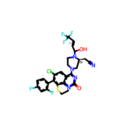 N#CC[C@H]1CN(c2nc(=O)n3c4c(c(-c5ccc(F)cc5F)c(Cl)cc24)SCC3)CCN1C(O)/C=C/C(F)(F)F